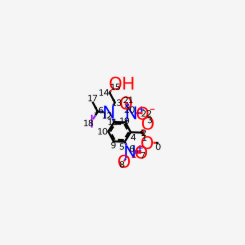 COC(=O)c1c([N+](=O)[O-])ccc(N(CCO)C(C)I)c1[N+](=O)[O-]